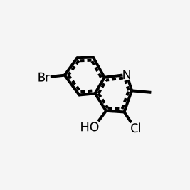 Cc1nc2ccc(Br)cc2c(O)c1Cl